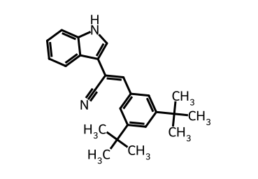 CC(C)(C)c1cc(/C=C(\C#N)c2c[nH]c3ccccc23)cc(C(C)(C)C)c1